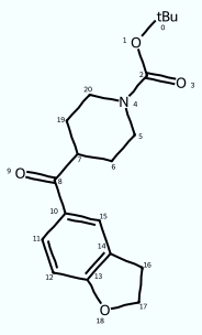 CC(C)(C)OC(=O)N1CCC(C(=O)c2ccc3c(c2)CCO3)CC1